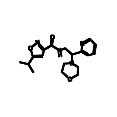 CC(C)c1cc(C(=O)NCC(c2ccccn2)N2CCOCC2)no1